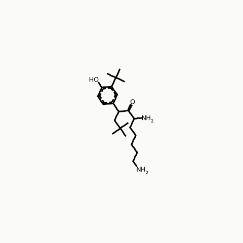 CC(C)(C)CC(C(=O)C(N)CCCCCN)c1ccc(O)c(C(C)(C)C)c1